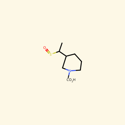 CC([S+]=O)C1CCCN(C(=O)O)C1